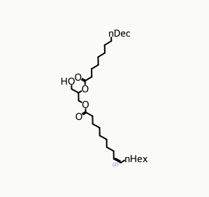 CCCCCC/C=C\CCCCCCCC(=O)OCC(CO)OC(=O)CCCCCCCCCCCCCCCCC